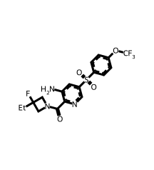 CCC1(F)CN(C(=O)c2ncc(S(=O)(=O)c3ccc(OC(F)(F)F)cc3)cc2N)C1